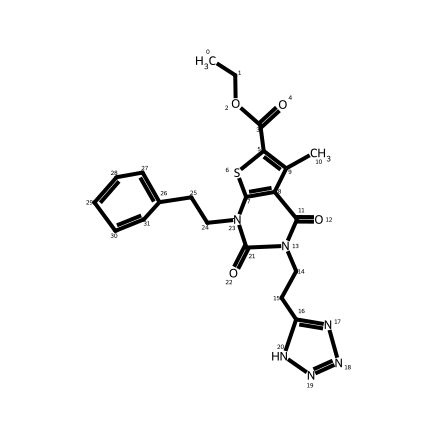 CCOC(=O)c1sc2c(c1C)c(=O)n(CCc1nnn[nH]1)c(=O)n2CCc1ccccc1